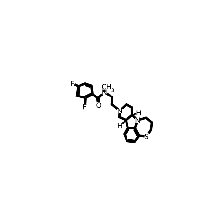 CN(CCN1CC[C@H]2[C@@H](C1)c1cccc3c1N2CCCS3)C(=O)c1ccc(F)cc1F